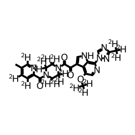 [2H]c1nc(C(=O)N2C([2H])([2H])C([2H])([2H])N(C(=O)C(=O)c3c[nH]c4c(-n5cnc(C([2H])([2H])[2H])n5)ncc(OC([2H])([2H])[2H])c34)C([2H])([2H])C2([2H])[2H])c([2H])c([2H])c1C